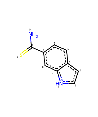 NC(=S)c1ccc2cc[nH]c2c1